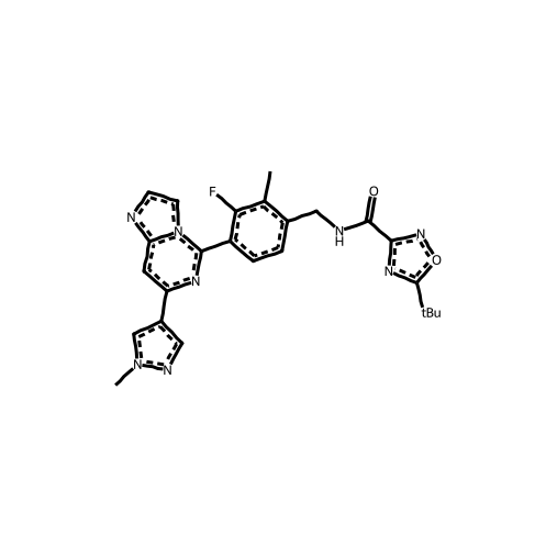 Cc1c(CNC(=O)c2noc(C(C)(C)C)n2)ccc(-c2nc(-c3cnn(C)c3)cc3nccn23)c1F